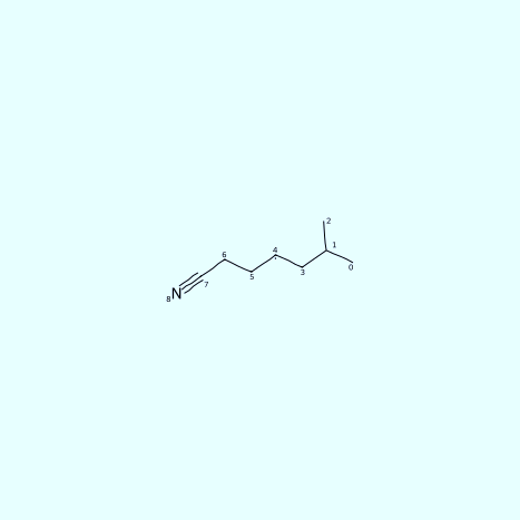 CC(C)C[CH]CCC#N